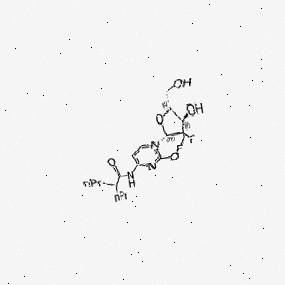 CCCC(CCC)C(=O)Nc1ccn([C@@H]2O[C@H](CO)[C@@H](O)C2(F)F)c(=O)n1